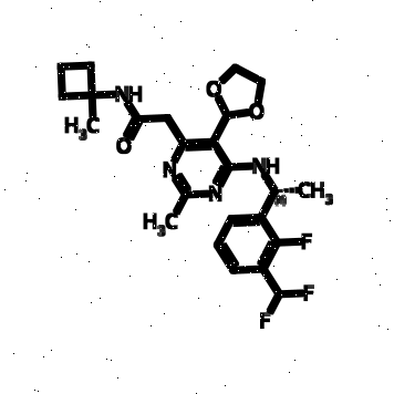 Cc1nc(CC(=O)NC2(C)CCC2)c(C2OCCO2)c(N[C@H](C)c2cccc(C(F)F)c2F)n1